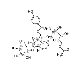 CC(=O)OC[C@H]1O[C@@H](O[C@@H]2OC=C[C@H]3[C@H](O[C@@H]4O[C@@H](C)[C@H](O)[C@@H](O)[C@H]4O)[C@@H]4O[C@]4(COC(=O)c4ccc(O)cc4)[C@@H]23)[C@H](O)[C@@H](O)[C@@H]1O